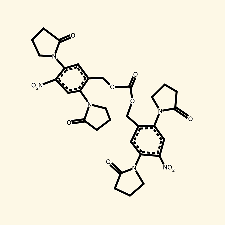 O=C(OCc1cc(N2CCCC2=O)c([N+](=O)[O-])cc1N1CCCC1=O)OCc1cc(N2CCCC2=O)c([N+](=O)[O-])cc1N1CCCC1=O